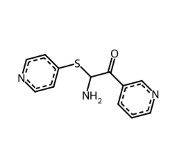 NC(Sc1ccncc1)C(=O)c1cccnc1